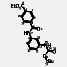 CCOC(=O)c1ccc(C(=O)Nc2cccc(NC(=O)OC(C)(C)C)c2)cc1